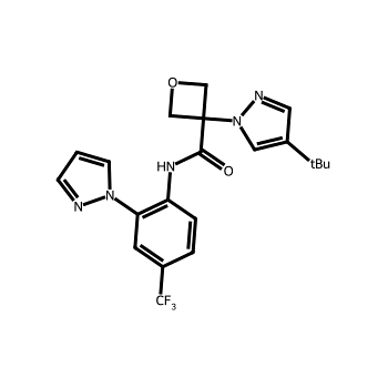 CC(C)(C)c1cnn(C2(C(=O)Nc3ccc(C(F)(F)F)cc3-n3cccn3)COC2)c1